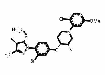 COc1cc(N2CC[C@@H](Oc3ccc(N4N=C(C(F)(F)F)[C@@H](C)[C@@H]4CC(=O)O)c(Br)c3)[C@@H](C)C2)c(Cl)cn1